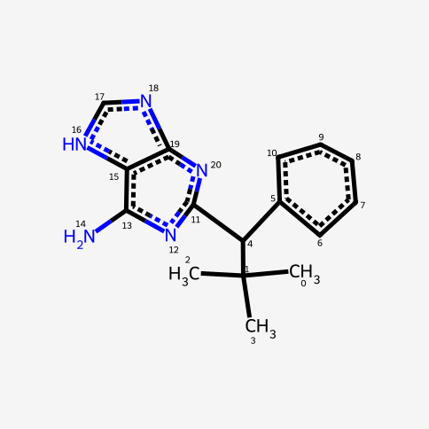 CC(C)(C)C(c1ccccc1)c1nc(N)c2[nH]cnc2n1